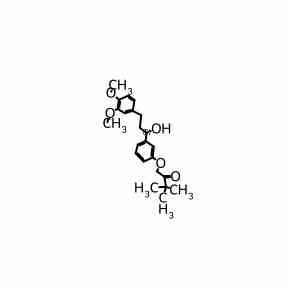 COc1ccc(CC[C@@H](O)c2cccc(OCC(=O)C(C)(C)C)c2)cc1OC